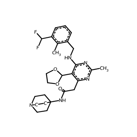 Cc1nc(CC(=O)NC23CCN(CC2)CC3)c(C2OCCO2)c(NCc2cccc(C(F)F)c2C)n1